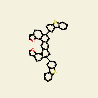 c1ccc2c(c1)sc1ccc(-c3cc4cc5cc(-c6ccc7sc8ccccc8c7c6)c6ccc7ccoc7c6c5cc4c4c3ccc3ccoc34)cc12